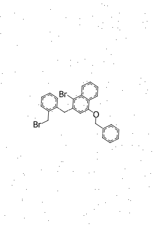 BrCc1ccccc1Cc1cc(OCc2ccccc2)c2ccccc2c1Br